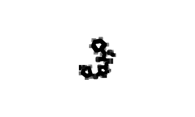 CO[C@H](C(=O)Nc1nnc(O[C@@H]2CCNC2)s1)c1ccccc1